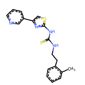 Cc1ccccc1CCNC(=S)Nc1nc(-c2cccnc2)cs1